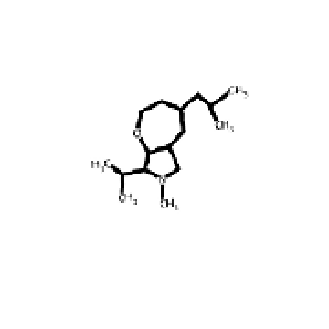 CC(C)CC1CCOC2C(C1)CN(C)C2C(C)C